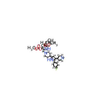 COC(=O)O[C@H](C)[C@H](CN1CCC(c2cc(-c3ccncc3)c(-c3ccc(F)cc3)[nH]2)CC1)NC(=O)OC(C)(C)C